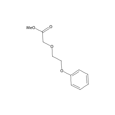 COC(=O)COCCOc1ccccc1